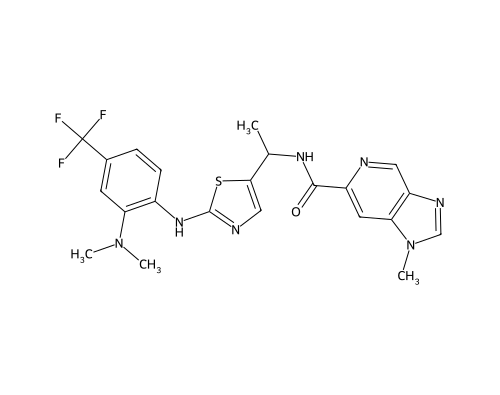 CC(NC(=O)c1cc2c(cn1)ncn2C)c1cnc(Nc2ccc(C(F)(F)F)cc2N(C)C)s1